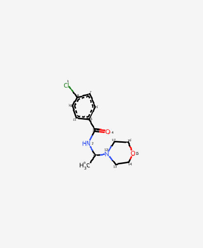 CC(NC(=O)c1ccc(Cl)cc1)N1CCOCC1